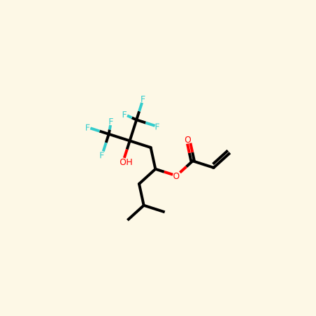 C=CC(=O)OC(CC(C)C)CC(O)(C(F)(F)F)C(F)(F)F